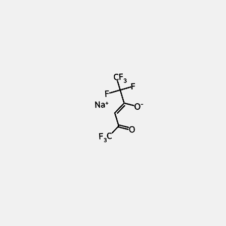 O=C(/C=C(\[O-])C(F)(F)C(F)(F)F)C(F)(F)F.[Na+]